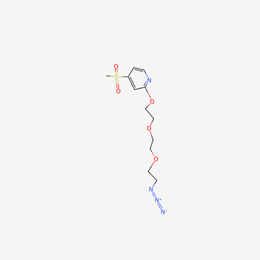 CS(=O)(=O)c1ccnc(OCCOCCOCCN=[N+]=[N-])c1